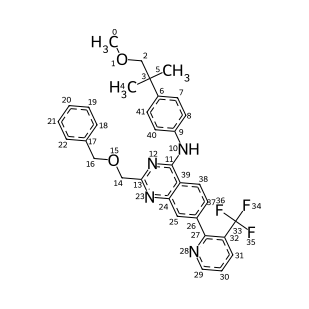 COCC(C)(C)c1ccc(Nc2nc(COCc3ccccc3)nc3cc(-c4ncccc4C(F)(F)F)ccc23)cc1